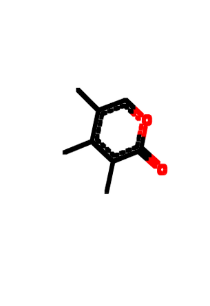 Cc1coc(=O)c(C)c1C